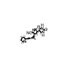 N#Cc1nnc(-c2c[nH]c(=O)[nH]c2=O)cc1[C@H]1C[C@@H]1C#Cc1ccccn1